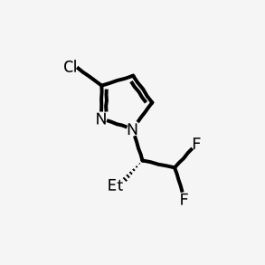 CC[C@@H](C(F)F)n1ccc(Cl)n1